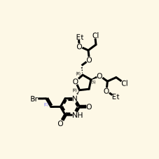 CCOC(CCl)OC[C@H]1O[C@@H](n2cc(/C=C/Br)c(=O)[nH]c2=O)C[C@@H]1OC(CCl)OCC